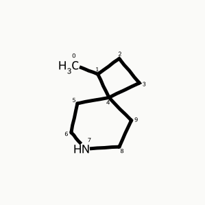 CC1CCC12CCNCC2